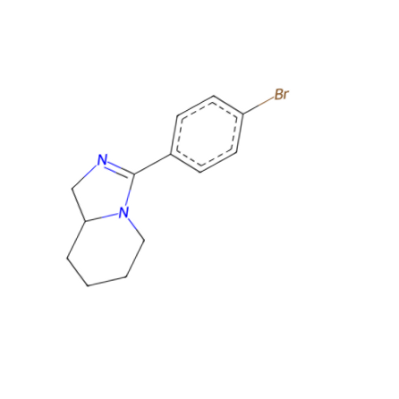 Brc1ccc(C2=NCC3CCCCN23)cc1